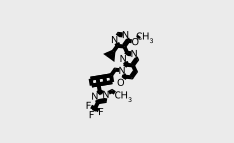 CCn1cc(C(F)(F)F)nc1C12C3C4C1C1C2C3C41Cn1c(=O)ccc2cnc(-c3c(OC)ncnc3C3CC3)nc21